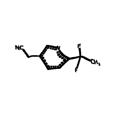 CC(F)(F)c1ccc(CC#N)cn1